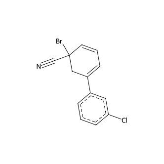 N#CC1(Br)C=CC=C(c2cccc(Cl)c2)C1